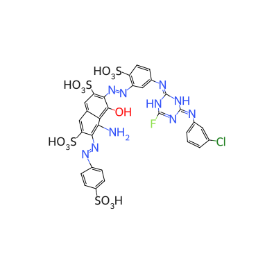 Nc1c(N=Nc2ccc(S(=O)(=O)O)cc2)c(S(=O)(=O)O)cc2cc(S(=O)(=O)O)c(N=Nc3cc(N=c4[nH]c(F)nc(=Nc5cccc(Cl)c5)[nH]4)ccc3S(=O)(=O)O)c(O)c12